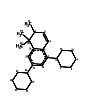 CC1C=Cc2c(C3CCCCC3)cc(C3CCCCC3)cc2C1(C)C